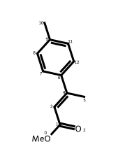 COC(=O)/C=C(\C)c1ccc(C)cc1